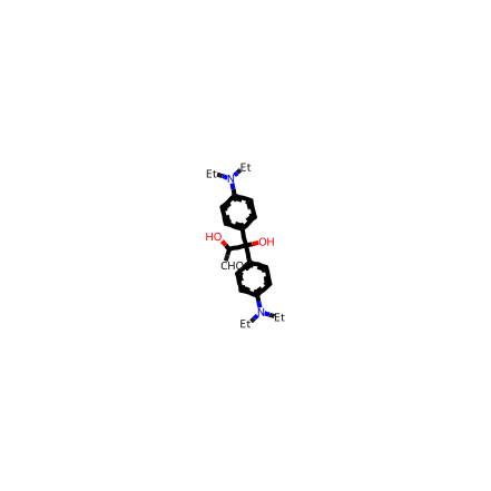 CCN(CC)c1ccc(C(O)(c2ccc(N(CC)CC)cc2)C(O)C=O)cc1